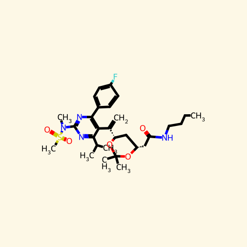 C=C(c1c(-c2ccc(F)cc2)nc(N(C)S(C)(=O)=O)nc1C(C)C)[C@@H]1C[C@H](CC(=O)NCCCC)OC(C)(C)O1